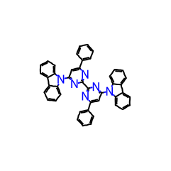 c1ccc(-c2cc(-n3c4ccccc4c4ccccc43)nc(-c3nc(-c4ccccc4)cc(-n4c5ccccc5c5ccccc54)n3)n2)cc1